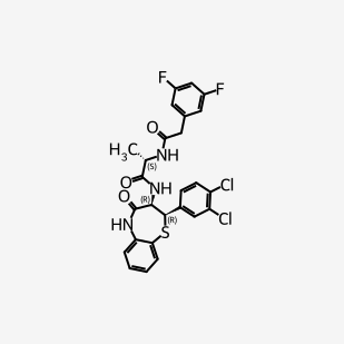 C[C@H](NC(=O)Cc1cc(F)cc(F)c1)C(=O)N[C@@H]1C(=O)Nc2ccccc2S[C@@H]1c1ccc(Cl)c(Cl)c1